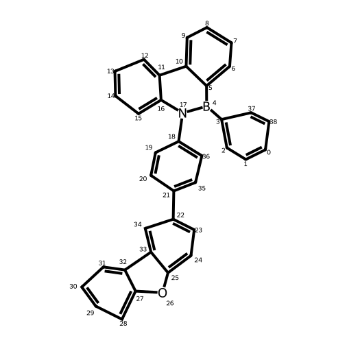 c1ccc(B2c3ccccc3-c3ccccc3N2c2ccc(-c3ccc4oc5ccccc5c4c3)cc2)cc1